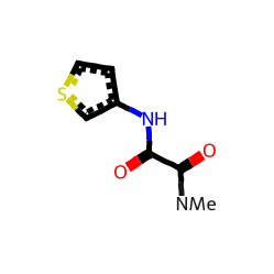 CNC(=O)C(=O)Nc1ccsc1